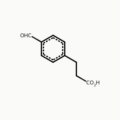 O=Cc1ccc(CCC(=O)O)cc1